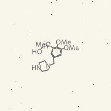 CC(C)O.COc1cc(CN2CCNCC2)cc(OC)c1OC